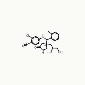 Cc1ccccc1C(Nc1ccc(C#N)c(Cl)c1)[C@]1(CC(O)CO)CNC(=O)C1